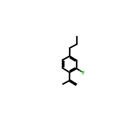 C=C(C)c1ccc(CCC)cc1F